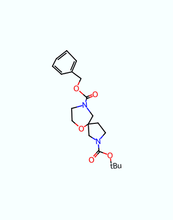 CC(C)(C)OC(=O)N1CCC2(CN(C(=O)OCc3ccccc3)CCO2)C1